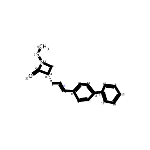 CSN1C[C@H](C/C=C/c2ccc(-c3ccccc3)cc2)C1=O